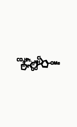 COc1ccc(C(=O)N[C@H](C(=O)N2CCC[C@H]2C(=O)O)C(C)C)c(Cl)c1